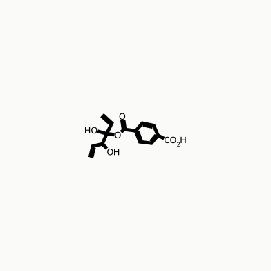 C=CC(O)C(O)(C=C)OC(=O)c1ccc(C(=O)O)cc1